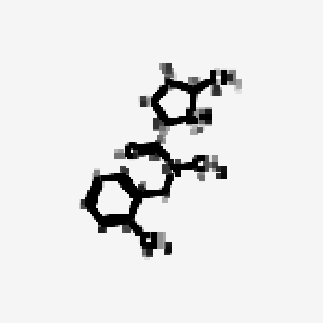 Cc1ccccc1CN(C)C(=O)[C@@H]1CSC(C)N1